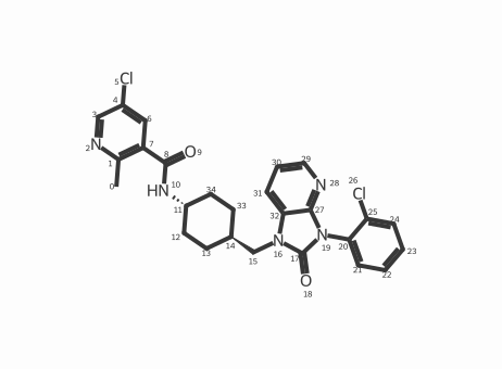 Cc1ncc(Cl)cc1C(=O)N[C@H]1CC[C@H](Cn2c(=O)n(-c3ccccc3Cl)c3ncccc32)CC1